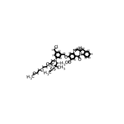 COCCOCCOCCN(CC(C)(C)SSC)c1cc(CCl)cc(COc2cc3c(cc2OC)C(=O)N2c4ccccc4C[C@H]2C=N3)c1